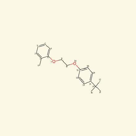 Cc1ccccc1OCCOc1ccc(C(C)(C)C)cc1